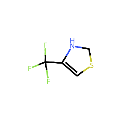 FC(F)(F)C1=CS[CH]N1